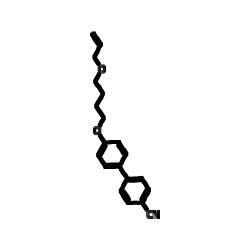 C=CCOCCCCOc1ccc(-c2ccc(C#N)cc2)cc1